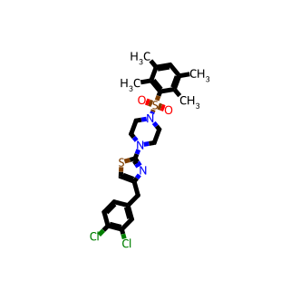 Cc1cc(C)c(C)c(S(=O)(=O)N2CCN(c3nc(Cc4ccc(Cl)c(Cl)c4)cs3)CC2)c1C